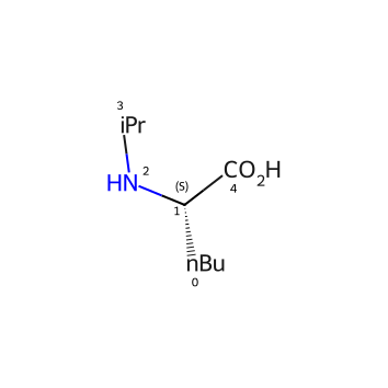 CCCC[C@H](NC(C)C)C(=O)O